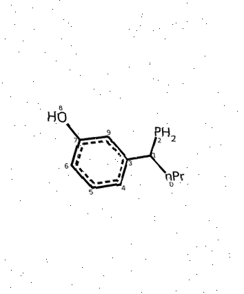 CCCC(P)c1cccc(O)c1